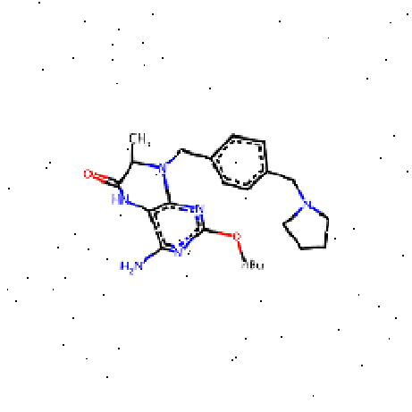 CCCCOc1nc(N)c2c(n1)N(Cc1ccc(CN3CCCC3)cc1)C(C)C(=O)N2